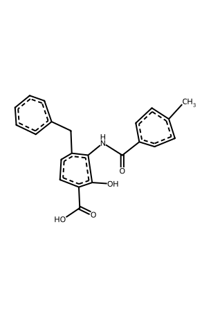 Cc1ccc(C(=O)Nc2c(Cc3ccccc3)ccc(C(=O)O)c2O)cc1